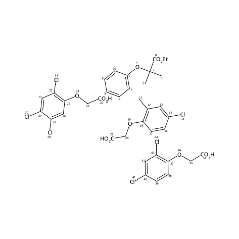 CCOC(=O)C(C)(C)Oc1ccccc1.Cc1cc(Cl)ccc1OCC(=O)O.O=C(O)COc1cc(Cl)c(Cl)cc1Cl.O=C(O)COc1ccc(Cl)cc1Cl